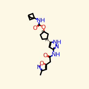 Cc1cc(CC(=O)Nc2cc([C@@H]3CC[C@@H](OC(=O)NC45CC(C4)C5)C3)[nH]n2)on1